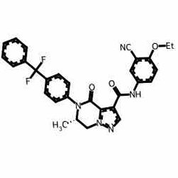 CCOc1ccc(NC(=O)c2cnn3c2C(=O)N(c2ccc(C(F)(F)c4ccccc4)cc2)[C@@H](C)C3)cc1C#N